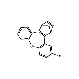 Brc1ccc2c(c1)C1=C(c3ccccc3O2)C2C=CC1O2